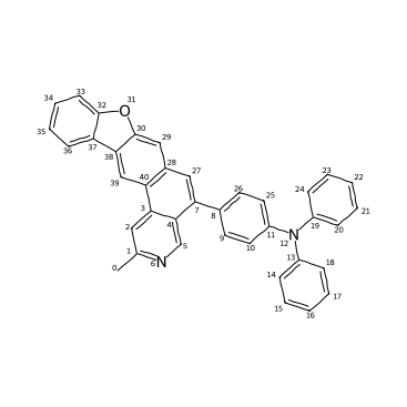 Cc1cc2c(cn1)c(-c1ccc(N(c3ccccc3)c3ccccc3)cc1)cc1cc3oc4ccccc4c3cc12